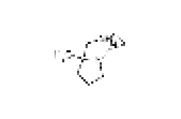 CC1(CN)CCCN1C1CC1